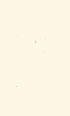 Bc1cnn2c(NCc3cccnc3)cc(C3CCN(C(=O)NCc4ccccc4)CC3)nc12